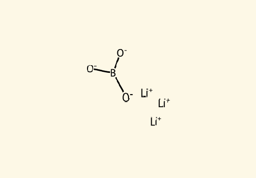 [Li+].[Li+].[Li+].[O-]B([O-])[O-]